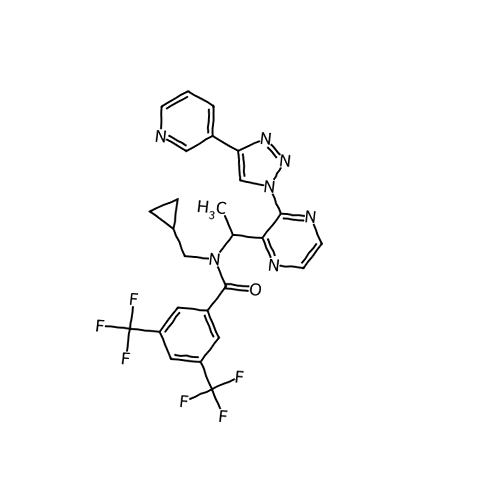 CC(c1nccnc1-n1cc(-c2cccnc2)nn1)N(CC1CC1)C(=O)c1cc(C(F)(F)F)cc(C(F)(F)F)c1